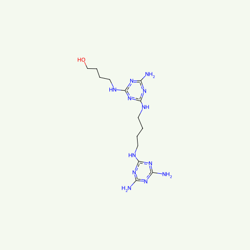 Nc1nc(N)nc(NCCCCNc2nc(N)nc(NCCCCO)n2)n1